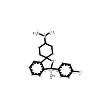 CN(C)C1CCC2(CC1)O[C@@](O)(c1ccc(Cl)cc1)c1ccccc12